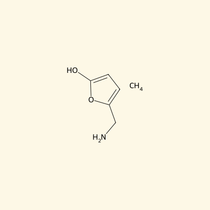 C.NCc1ccc(O)o1